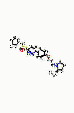 C[C@@H]1CCCN1CCCOc1ccc(-c2ccc([S+]([O-])Cc3ccccc3)nn2)cc1